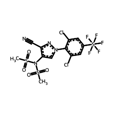 CS(=O)(=O)N(c1cn(-c2c(Cl)cc(S(F)(F)(F)(F)F)cc2Cl)nc1C#N)S(C)(=O)=O